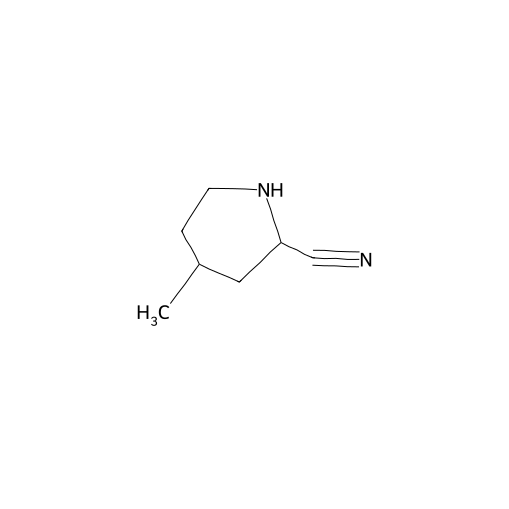 CC1CCNC(C#N)C1